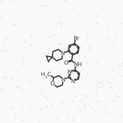 CC1CN(c2nccc(NC(=O)c3ccc(Br)cc3N3CCC4(CC3)CC4)n2)CCO1